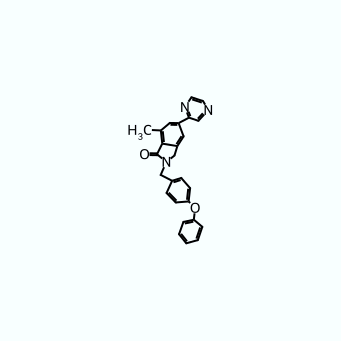 Cc1cc(-c2cnccn2)cc2c1C(=O)N(Cc1ccc(Oc3ccccc3)cc1)C2